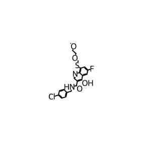 COCCOCSc1cc(F)cc2c(O)c(C(=O)NCc3ccc(Cl)cc3)cnc12